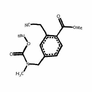 COC(=O)c1ccc(CN(C)C(=O)OC(C)(C)C)cc1CC#N